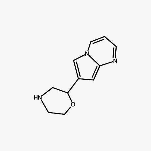 c1cnc2cc(C3CNCCO3)cn2c1